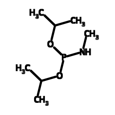 CNP(OC(C)C)OC(C)C